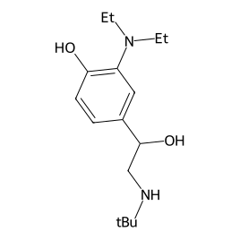 CCN(CC)c1cc(C(O)CNC(C)(C)C)ccc1O